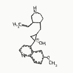 C=CC1CNCCC1CC1C[C@]1(O)c1ccnc2ccc(OC)cc12